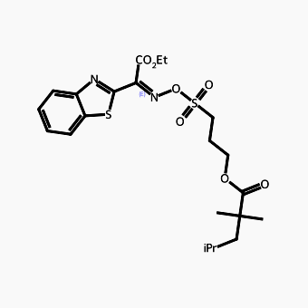 CCOC(=O)/C(=N\OS(=O)(=O)CCCOC(=O)C(C)(C)CC(C)C)c1nc2ccccc2s1